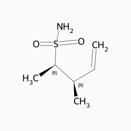 C=C[C@@H](C)[C@@H](C)S(N)(=O)=O